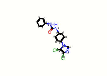 O=C(Nc1ccccc1)Nc1ccc(-n2cnc(Cl)c2Cl)cc1